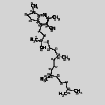 Cc1nc2c(c(CCC(C)(O)CCC[C@H](C)CCC[C@H](C)CCCC(C)C)c1O)CCN2C